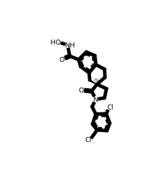 O=C(NO)c1ccc2c(c1)C[C@@]1(CC2)CCN(Cc2cc(Cl)ccc2Cl)C1=O